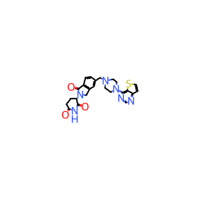 O=C1CCC(N2Cc3cc(CN4CCN(c5ncnc6ccsc56)CC4)ccc3C2=O)C(=O)N1